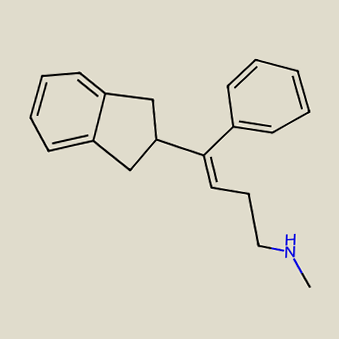 CNCCC=C(c1ccccc1)C1Cc2ccccc2C1